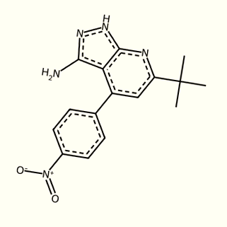 CC(C)(C)c1cc(-c2ccc([N+](=O)[O-])cc2)c2c(N)n[nH]c2n1